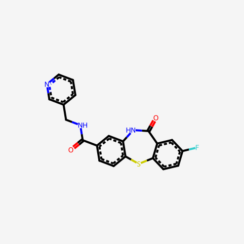 O=C(NCc1cccnc1)c1ccc2c(c1)NC(=O)c1cc(F)ccc1S2